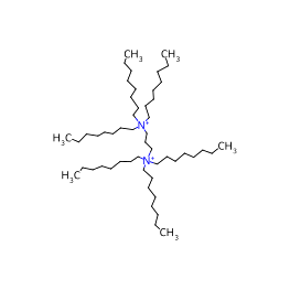 CCCCCCCC[N+](CCCCCCCC)(CCCCCCCC)CCC[N+](CCCCCCCC)(CCCCCCCC)CCCCCCCC